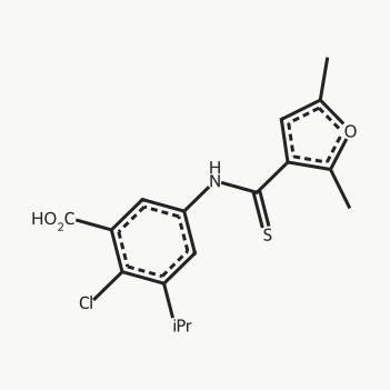 Cc1cc(C(=S)Nc2cc(C(=O)O)c(Cl)c(C(C)C)c2)c(C)o1